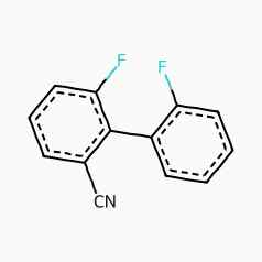 N#Cc1cccc(F)c1-c1ccccc1F